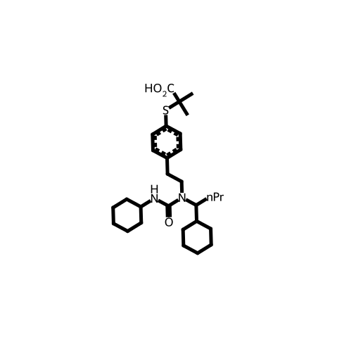 CCCC(C1CCCCC1)N(CCc1ccc(SC(C)(C)C(=O)O)cc1)C(=O)NC1CCCCC1